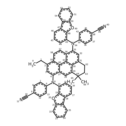 CCc1cc(N(c2ccc(C#N)cc2)c2cccc3c2oc2ccccc23)c2cc3c4c(cc(N(c5ccc(C#N)cc5)c5cccc6c5oc5ccccc56)c5ccc1c2c54)CCC3(C)C